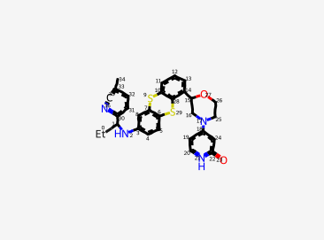 CCC(Nc1ccc2c(c1)Sc1cccc(C3CN(c4cc[nH]c(=O)c4)CCO3)c1S2)c1ccc(C)cn1